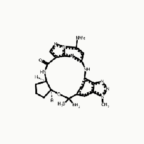 BC1(B)O[C@H]2CCC[C@H]2NC(=O)c2cnn3c(NC)cc(nc23)Nc2cc1cc1c2nnn1C